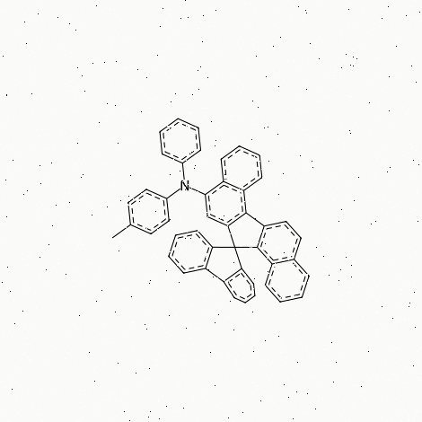 Cc1ccc(N(c2ccccc2)c2cc3c(c4ccccc24)-c2ccc4ccccc4c2C32c3ccccc3-c3ccccc32)cc1